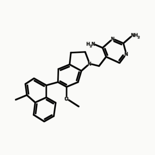 COc1cc2c(cc1-c1ccc(C)c3ccccc13)CCN2Cc1cnc(N)nc1N